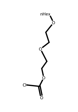 CCCCCCOCCOCCOC(=O)Cl